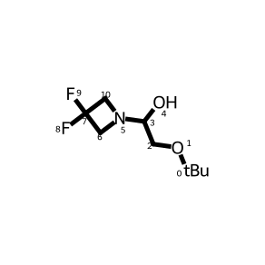 CC(C)(C)OCC(O)N1CC(F)(F)C1